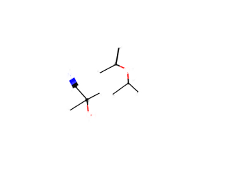 CC(C)(O)C#N.CC(C)OC(C)C